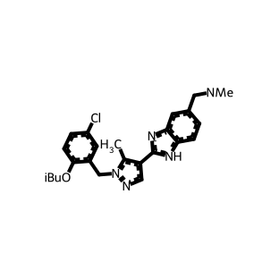 CNCc1ccc2[nH]c(-c3cnn(Cc4cc(Cl)ccc4OCC(C)C)c3C)nc2c1